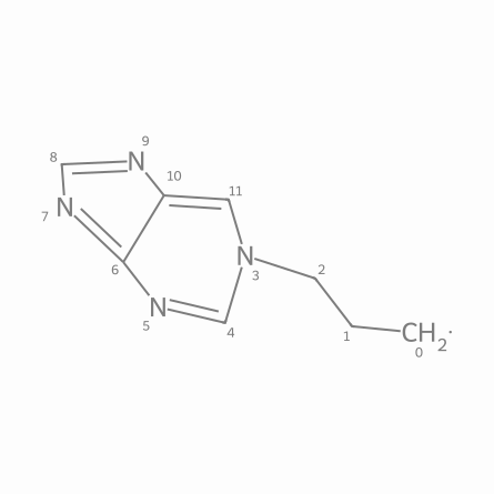 [CH2]CCn1cnc2ncnc-2c1